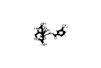 N=C1NC2CNC(=N)N3C[C@H](OC(=O)c4cccc(C(F)(F)F)c4)C(O)(O)C23N1